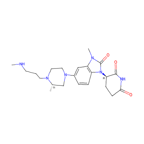 CNCCCN1CCN(c2ccc3c(c2)n(C)c(=O)n3[C@@H]2CCC(=O)NC2=O)C[C@@H]1C